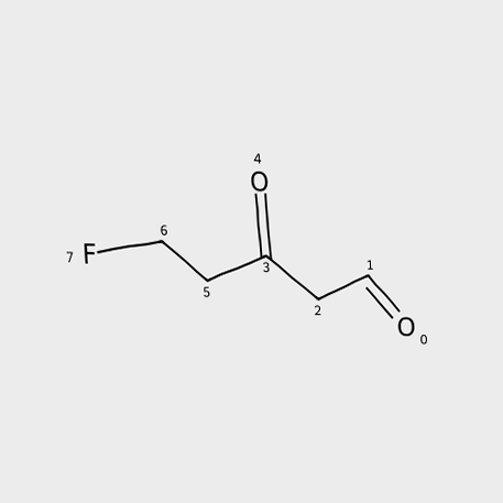 O=CCC(=O)CCF